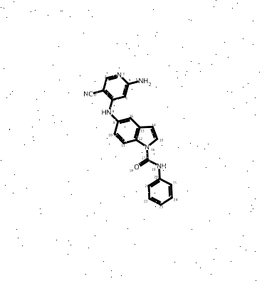 N#Cc1cnc(N)cc1Nc1ccc2c(ccn2C(=O)Nc2ccccc2)c1